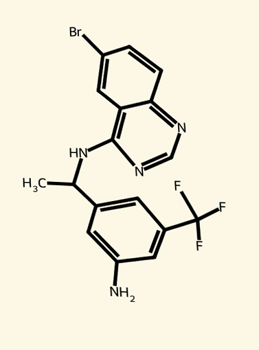 CC(Nc1ncnc2ccc(Br)cc12)c1cc(N)cc(C(F)(F)F)c1